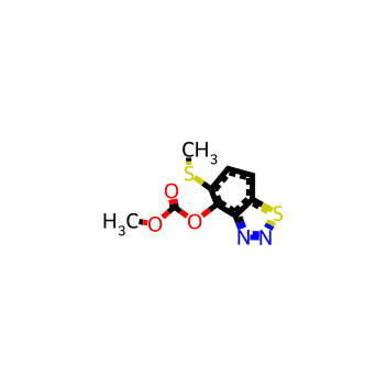 COC(=O)Oc1c(SC)ccc2snnc12